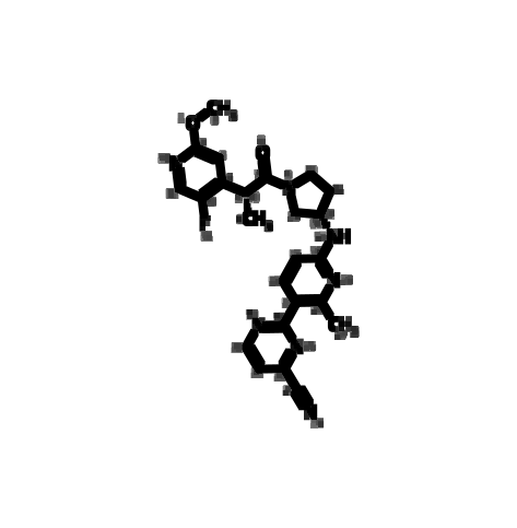 COc1cc([C@@H](C)C(=O)N2CC[C@H](Nc3ccc(-c4nccc(C#N)n4)c(C)n3)C2)c(F)cn1